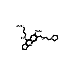 COCCCNc1c2c(nc3cc(COCCN4CCCC4)c(OC)cc13)CCC2